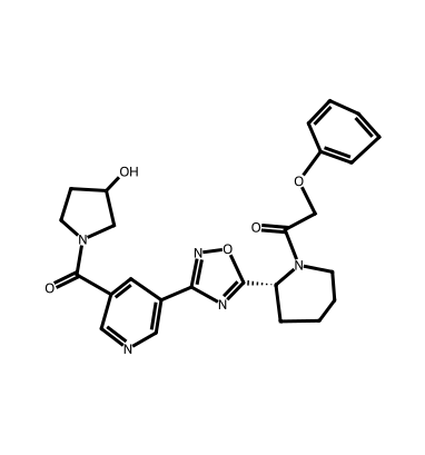 O=C(c1cncc(-c2noc([C@H]3CCCCN3C(=O)COc3ccccc3)n2)c1)N1CCC(O)C1